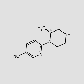 C[C@H]1CNCCN1c1ccc(C#N)cn1